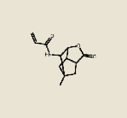 C=CC(=O)NC1C2OC(=O)C3CC1(C)CC32